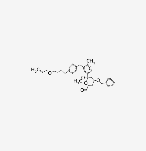 C=CCOCCCCc1ccc(Cc2cc([C@@]3(OC)C[C@@H](OCc4ccccc4)C[C@@H](C=O)O3)ccc2C)cc1